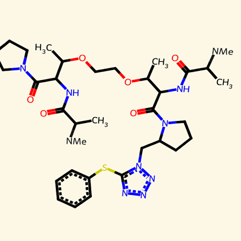 CNC(C)C(=O)NC(C(=O)N1CCCC1)C(C)OCCOC(C)C(NC(=O)C(C)NC)C(=O)N1CCCC1Cn1nnnc1Sc1ccccc1